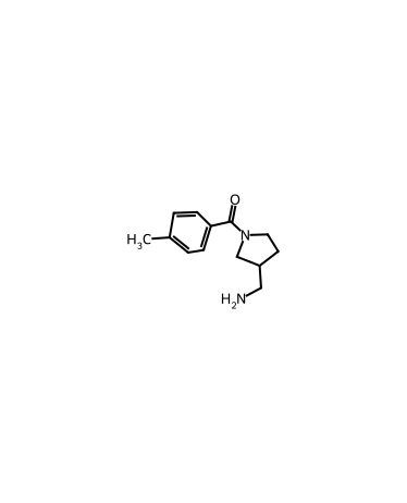 Cc1ccc(C(=O)N2CCC(CN)C2)cc1